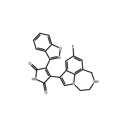 O=C1NC(=O)C(c2cn3c4c(cc(F)cc24)CNCC3)=C1c1noc2ccccc12